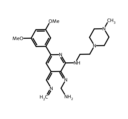 C=N/C=C1/C=C(c2cc(OC)cc(OC)c2)N=C(NCCN2CCN(C)CC2)/C1=N/CN